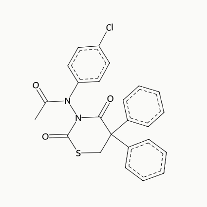 CC(=O)N(c1ccc(Cl)cc1)N1C(=O)SCC(c2ccccc2)(c2ccccc2)C1=O